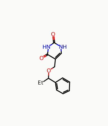 CCC(OCc1c[nH]c(=O)[nH]c1=O)c1ccccc1